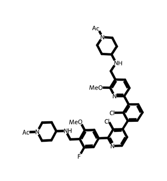 COc1cc(-c2nccc(-c3cccc(-c4ccc(CNC5CCN(C(C)=O)CC5)c(OC)n4)c3Cl)c2Cl)cc(F)c1CNC1CCN(C(C)=O)CC1